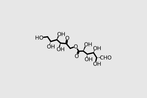 O=C[C@H](O)[C@@H](O)[C@H](O)[C@H](O)C(=O)OCC(=O)[C@@H](O)[C@H](O)[C@H](O)CO